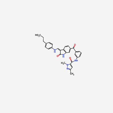 Cc1cc(C(=O)Nc2cccc(C(=O)c3ccc4c(c3)NC(=O)/C4=C\Nc3ccc(CCC(=O)O)cc3)c2)n(C)n1